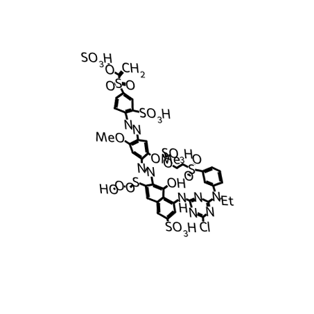 C=C(OS(=O)(=O)O)S(=O)(=O)c1ccc(N=Nc2cc(OC)c(N=Nc3c(SOOO)cc4cc(S(=O)(=O)O)cc(Nc5nc(Cl)nc(N(CC)c6cccc(S(=O)(=O)CCOS(=O)(=O)O)c6)n5)c4c3O)cc2OC)c(S(=O)(=O)O)c1